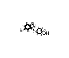 C[C@]1(O)CC[C@H](Cn2nnc3ccc(Br)cc32)CC1